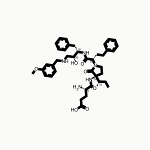 CC[C@H](C)[C@@]1(NC(=O)[C@@H](N)CCC(=O)O)CCN([C@@H](CCc2ccccc2)C(=O)N[C@@H](Cc2ccccc2)[C@H](O)CNCc2cccc(OC)c2)C1=O